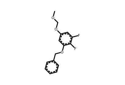 COCOc1cc(F)c(F)c(OCc2ccccc2)c1